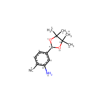 CC1(C)OB(c2ccc(C#N)c(N)c2)OC1(C)C